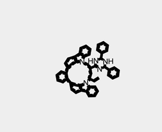 C=Cc1cc(C2=NC(c3ccccc3)NC(c3ccccc3)N2)cn2c3ccccc3c3ccc(cc32)c2ccccc2c2ccc3c4ccccc4n1c3c2